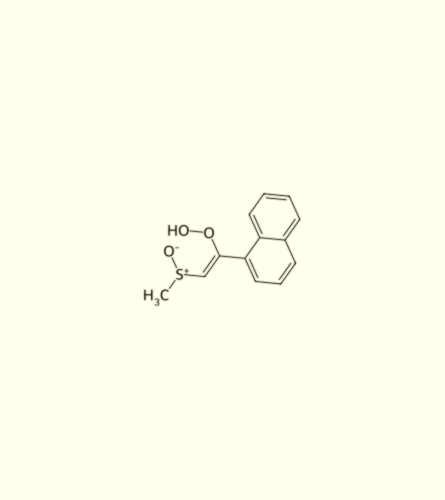 C[S+]([O-])C=C(OO)c1cccc2ccccc12